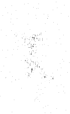 Cc1cc(-n2nc3c(c2-n2ccn(-c4ccc(P5(=O)CCN(C)CC5)cc4)c2=O)[C@H](C)N(C(=O)c2cc4cc(C5CCOCC5)ccc4n2[C@@]2(C4=NOC(O)N4)C[C@@H]2C)CC3)cc(C)c1F